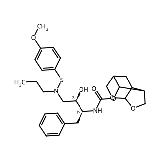 CCCN(C[C@@H](O)[C@H](Cc1ccccc1)NC(=O)OC1C2COC3OCC1C3C2)Sc1ccc(OC)cc1